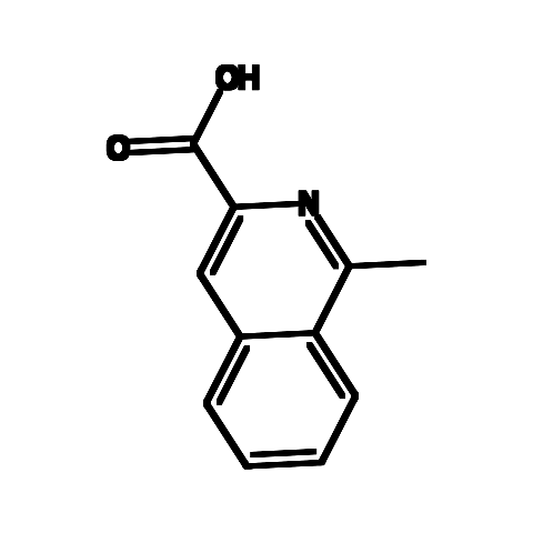 Cc1nc(C(=O)O)cc2ccccc12